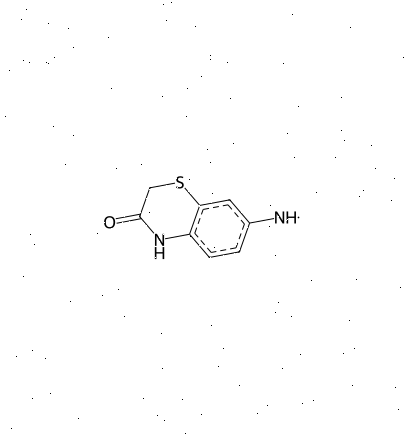 [NH]c1ccc2c(c1)SCC(=O)N2